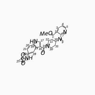 COCc1cccnc1N(C)C1CCN(C(=O)c2c[nH]c3ccc(NS(C)(=O)=O)cc23)CC1